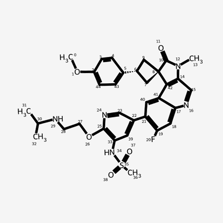 COc1ccc([C@H]2C[C@@]3(C2)C(=O)N(C)c2cnc4cc(F)c(-c5cnc(OCCNC(C)C)c(NS(C)(=O)=O)c5)cc4c23)cc1